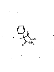 CNC(=O)C(C)(C(N)=O)c1ccccc1